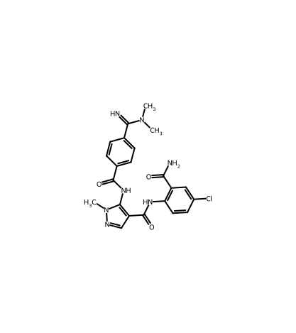 CN(C)C(=N)c1ccc(C(=O)Nc2c(C(=O)Nc3ccc(Cl)cc3C(N)=O)cnn2C)cc1